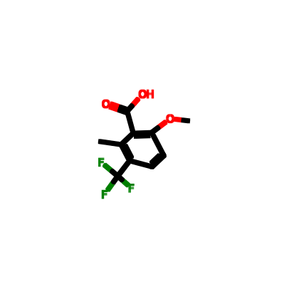 COc1ccc(C(F)(F)F)c(C)c1C(=O)O